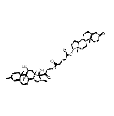 C=C1C=CC2(C)C(=C1)CCC1C3CC(C)C(O)(C(=O)COC(=O)CCCC(=O)OC4CCC5C6CCC7=CC(=O)CCC7(C)C6CCC45C)C3(C)CC(O)C12F